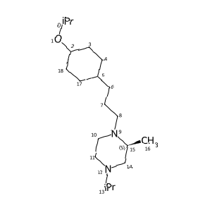 CC(C)OC1CCC(CCCN2CCN(C(C)C)C[C@@H]2C)CC1